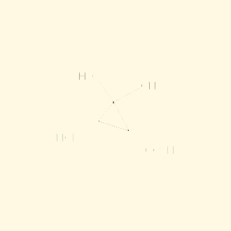 CC1(C)C[C@H]1C(=O)O.Cl